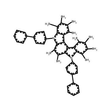 Bc1c(B)c(B)c2c(c1B)c1c3c4c(B)c(B)c(B)c(B)c4n(-c4ccc(-c5ccccc5)cc4)c3c(B)c(B)c1n2-c1ccc(-c2ccccc2)cc1